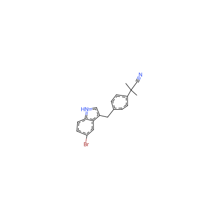 CC(C)(C#N)c1ccc(Cc2c[nH]c3ccc(Br)cc23)cc1